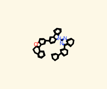 C1=CC(C2=CCCC(c3nc(N4c5ccccc5C5C=C(C6=CC7C8=C(CCc9ccccc98)OC7C=C6)C=CC54)nc4c3=CCCC=4)=C2)=CCC1